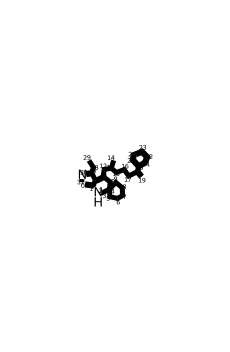 C=C1NCC2(CCCCC2)CC(CC(C)CCCC(=C)c2ccccc2)=C1/C(CC)=N\C